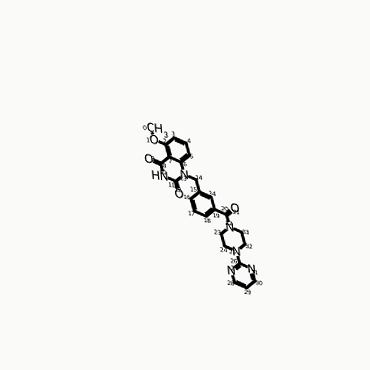 COc1cccc2c1c(=O)[nH]c(=O)n2Cc1cccc(C(=O)N2CCN(c3ncccn3)CC2)c1